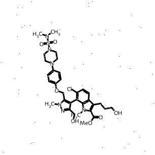 COC(=O)c1c(CCCO)c2ccc(Cl)c(-c3c(CO)nn(C)c3COc3ccc(N4CCN(S(=O)(=O)N(C)C)CC4)cc3)c2n1C